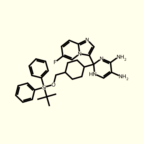 CC(C)(C)[Si](OCC1CCC(C2(c3cnc4ccc(F)cn34)N=C(N)C(N)=CN2)CC1)(c1ccccc1)c1ccccc1